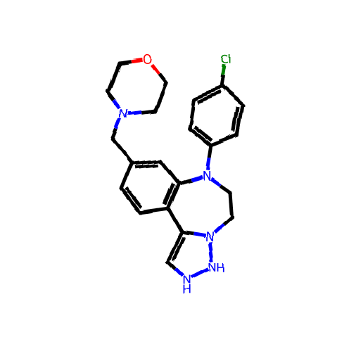 Clc1ccc(N2CCN3NNC=C3c3ccc(CN4CCOCC4)cc32)cc1